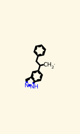 [CH2]C(Cc1ccccc1)c1ccc2[nH]ncc2c1